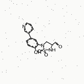 O=CC1CN(c2cc(-c3cccnc3)ccc2O)S(=O)(=O)N1